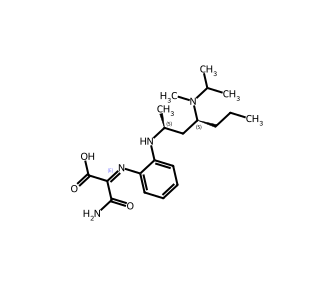 CCC[C@@H](C[C@H](C)Nc1ccccc1/N=C(\C(N)=O)C(=O)O)N(C)C(C)C